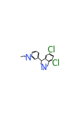 C/C=N/c1cccc(C2CN(C)Cc3c(Cl)cc(Cl)cc32)c1